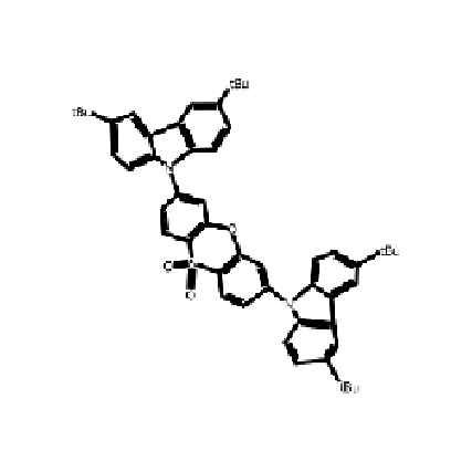 CC(C)(C)c1ccc2c(c1)c1cc(C(C)(C)C)ccc1n2-c1ccc2c(c1)Oc1cc(-n3c4ccc(C(C)(C)C)cc4c4cc(C(C)(C)C)ccc43)ccc1S2(=O)=O